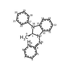 C[C@@H]1N(/N=c2/cccc[nH]2)c2ccccc2N1c1ccccc1